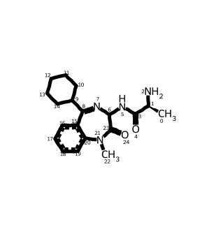 C[C@H](N)C(=O)NC1N=C(C2CCCCC2)c2ccccc2N(C)C1=O